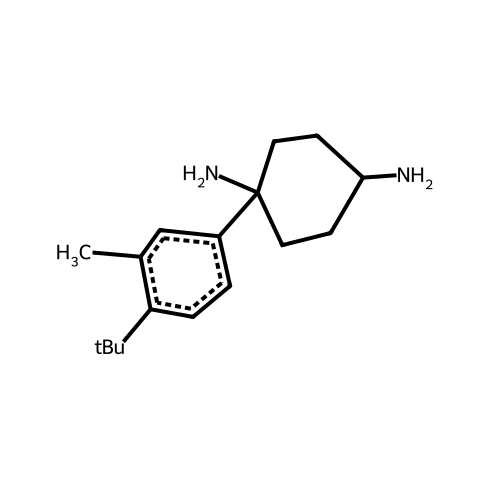 Cc1cc(C2(N)CCC(N)CC2)ccc1C(C)(C)C